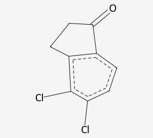 O=C1CCc2c1ccc(Cl)c2Cl